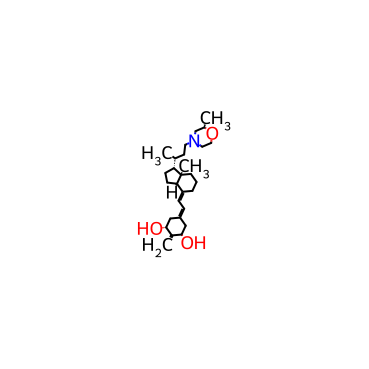 C=C1[C@H](O)CC(=C/C=C2\CCC[C@]3(C)[C@@H](C(C)CCN4CCO[C@H](C)C4)CC[C@@H]23)C[C@H]1O